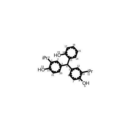 CC(C)c1cc(C(c2ccc(O)c(C(C)C)c2)c2ccccc2O)ccc1O